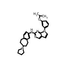 CC(C)Oc1cccc(-n2ccc3cnc(Nc4ccc5c(c4)CCC(N4CCCC4)CC5)nc32)c1